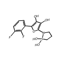 Oc1c(-c2cccc(F)c2F)oc(N2CCCS2(O)O)c1O